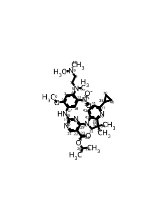 COc1cc(N(C)CCN(C)C)c([N+](=O)[O-])cc1Nc1ncc(C(=O)OC(C)C)c(N2CC(C)(C)c3nc(C4CC4)ccc32)n1